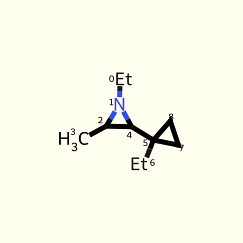 CCN1C(C)C1C1(CC)CC1